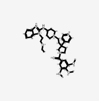 CCOCCn1c(NC2CCN(CCC3(c4ccncc4)CCN(C(=O)c4cc(OC)c(OC)c(OC)c4)C3)CC2)nc2ccccc21